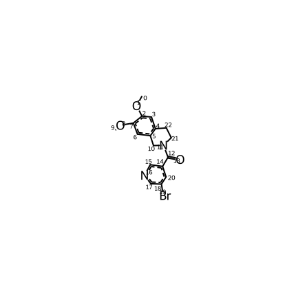 COc1cc2c(cc1OC)CN(C(=O)c1cncc(Br)c1)CC2